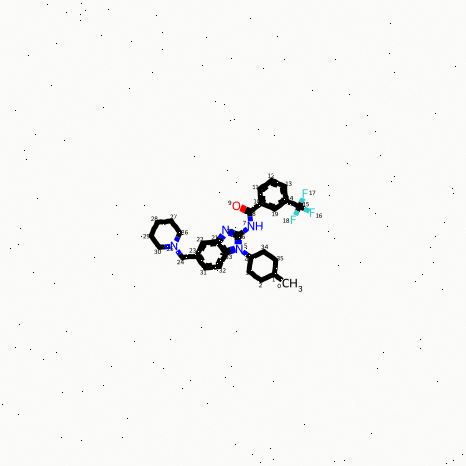 CC1CCC(n2c(NC(=O)c3cccc(C(F)(F)F)c3)nc3cc(CN4CCCCC4)ccc32)CC1